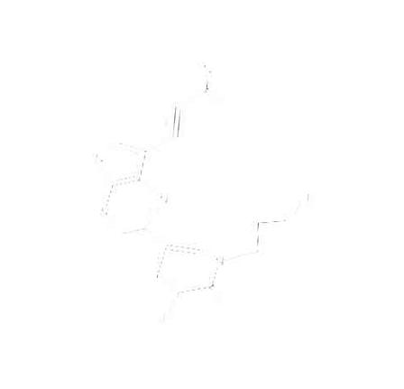 NC(=O)/C=C/c1c[nH]c2ncc(-c3cc(F)c(=O)n(CCOC(F)(F)F)c3)nc12